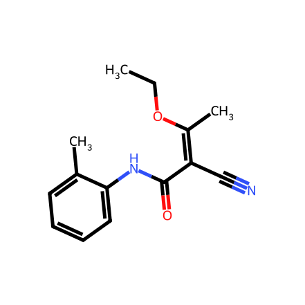 CCOC(C)=C(C#N)C(=O)Nc1ccccc1C